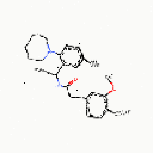 CCCC(NC(=O)Cc1ccc(C(=O)O)c(OCC)c1)c1cc(OC)ccc1N1CCCCC1